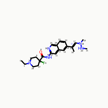 CCN1CCC(F)(C(=O)Nc2cc3cc(/C(C)=C/N(C)NC)ccc3cn2)CC1